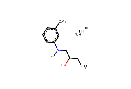 CCN(CC(O)CS(=O)(=O)O)c1cccc(OC)c1.[HH].[HH].[NaH]